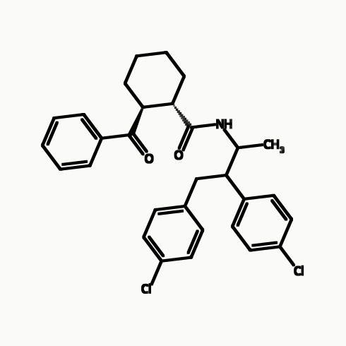 CC(NC(=O)[C@H]1CCCC[C@@H]1C(=O)c1ccccc1)C(Cc1ccc(Cl)cc1)c1ccc(Cl)cc1